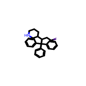 ICCC(C1CCCNC1)C(c1ccccc1)(c1ccccc1)c1ccccc1